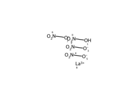 O=[N+]([O-])O.O=[N+]([O-])[O-].O=[N+]([O-])[O-].O=[N+]([O-])[O-].[La+3]